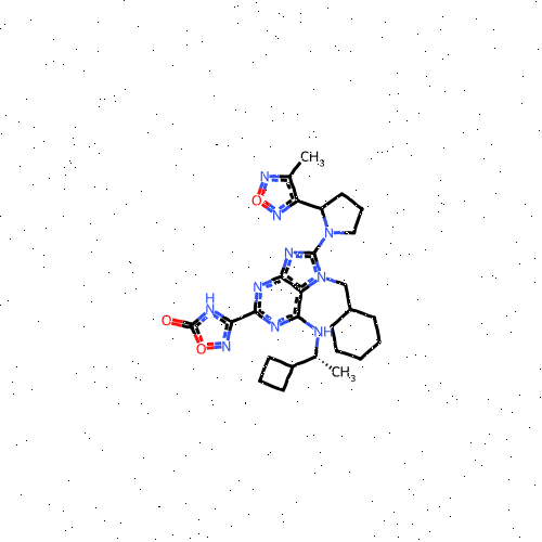 Cc1nonc1C1CCCN1c1nc2nc(-c3noc(=O)[nH]3)nc(N[C@H](C)C3CCC3)c2n1CC1CCCCC1